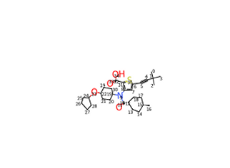 CC(C)(C)C#Cc1cc(N(C(=O)[C@H]2CC[C@H](C)CC2)[C@H]2CC[C@@H](OC3CCCC3)CC2)c(C(=O)O)s1